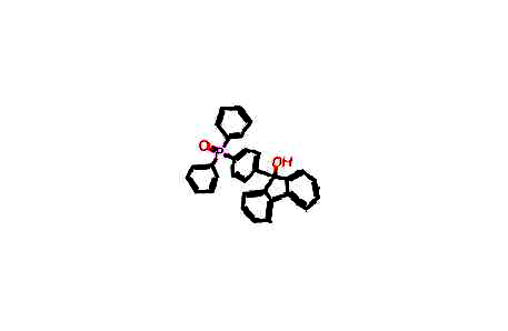 O=P(c1ccccc1)(c1ccccc1)c1ccc(C2(O)c3ccccc3-c3ccccc32)cc1